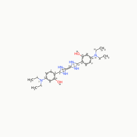 CCN(CC)c1ccc(C2NC(=C3NC(c4ccc(N(CC)CC)cc4O)N3)N2)c(O)c1